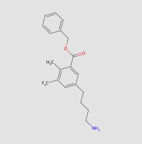 Cc1c(C(=O)OCc2ccccc2)cc(CCCCN)cc1C(F)(F)F